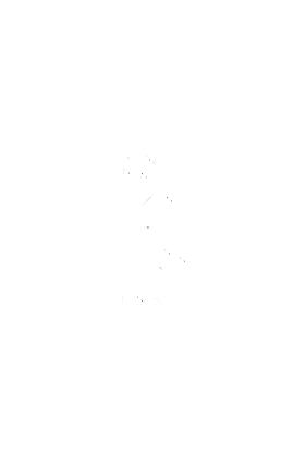 NC(=O)c1cnn(-c2cnc(-n3nccn3)c(Cl)c2)c1C(F)(F)F